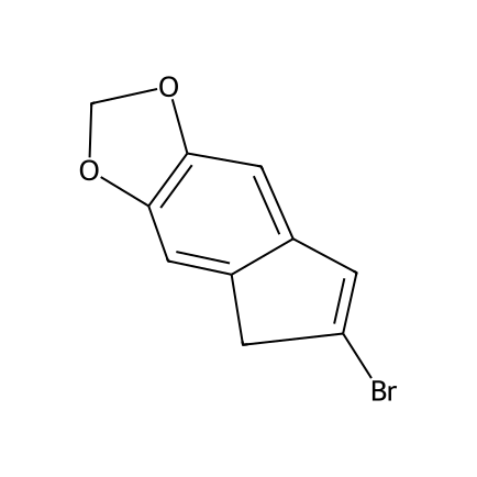 BrC1=Cc2cc3c(cc2C1)OCO3